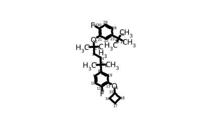 CC(C)(CCC(C)(C)c1ccc(F)c(OC2CCC2)c1)Oc1cc(C(C)(C)C)ccc1F